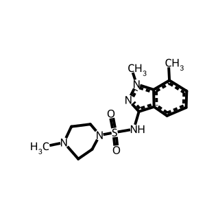 Cc1cccc2c(NS(=O)(=O)N3CCN(C)CC3)nn(C)c12